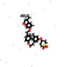 Cc1cc(OC2CCS(=O)(=O)CC2)cc2c1-c1cc(COc3ccc4c(c3)OC[C@H]4CC(=O)O)ccc1OCC2